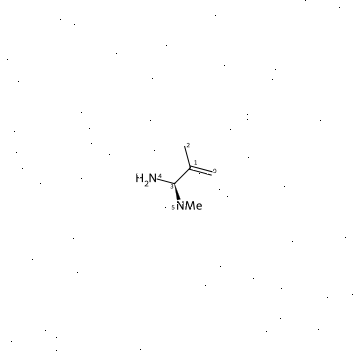 C=C(C)[C@H](N)NC